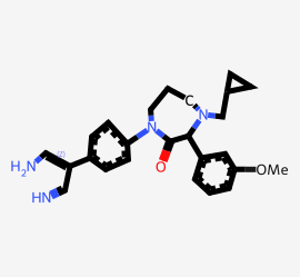 COc1cccc(C2C(=O)N(c3ccc(/C(C=N)=C/N)cc3)CCCN2CC2CC2)c1